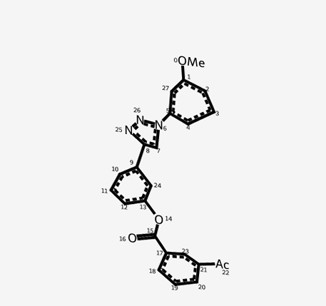 COc1cccc(-n2cc(-c3cccc(OC(=O)c4cccc(C(C)=O)c4)c3)nn2)c1